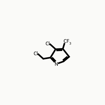 FC(F)(F)c1ccnc(CCl)c1Cl